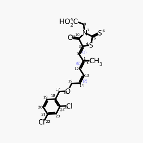 CC(/C=C1\SC(=S)N(CC(=O)O)C1=O)=C\C=C/COCc1ccc(Cl)cc1Cl